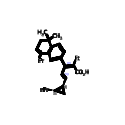 CCC[C@H]1C[C@@H]1/C=C/C(=C(/CC)C(=O)O)c1ccc2c(c1)C(C(C)C)=CCC2(C)C